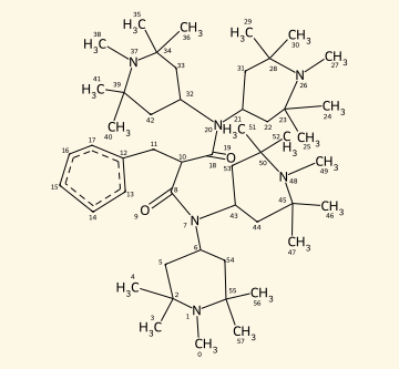 CN1C(C)(C)CC(N(C(=O)C(Cc2ccccc2)C(=O)N(C2CC(C)(C)N(C)C(C)(C)C2)C2CC(C)(C)N(C)C(C)(C)C2)C2CC(C)(C)N(C)C(C)(C)C2)CC1(C)C